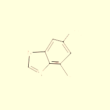 O=C(O)c1cc(F)c2nc[nH]c2c1